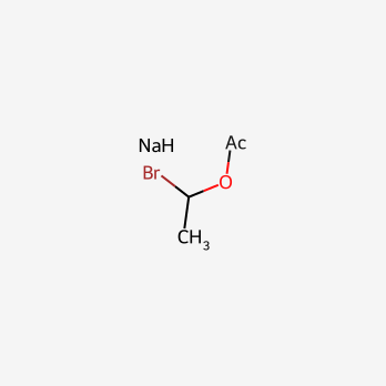 CC(=O)OC(C)Br.[NaH]